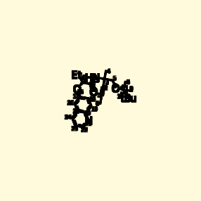 CC#CC(C)(CO[Si](C)(C)C(C)(C)C)NC(=O)C(CC)Oc1ccc2ncccc2c1